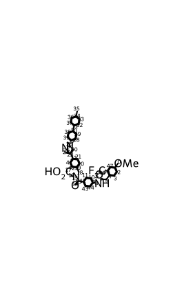 COc1ccc(CC(=O)Nc2ccc(C(=O)N(CC(=O)O)Cc3ccc(-c4cnn(-c5ccc(-c6ccc(C)cc6)cc5)c4)cc3)cc2)c(C(F)(F)F)c1